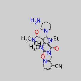 CCn1c(N2CCC[C@@H](N)C2)c(C(=O)N(C)C)c2c1c(=O)n(Cc1ncccc1C#N)c(=O)n2C